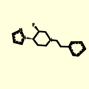 F[C@H]1CN(CCc2ccccc2)CC[C@@H]1n1cccn1